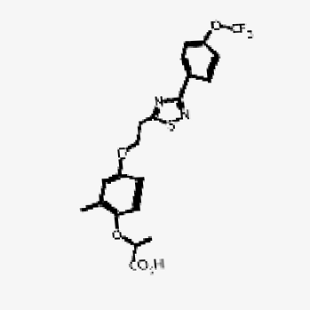 Cc1cc(OCCc2nc(-c3ccc(OC(F)(F)F)cc3)ns2)ccc1OC(C)C(=O)O